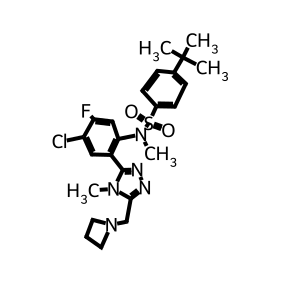 CN(c1cc(F)c(Cl)cc1-c1nnc(CN2CCC2)n1C)S(=O)(=O)c1ccc(C(C)(C)C)cc1